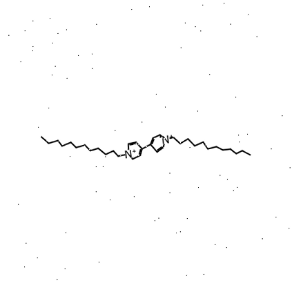 CCCCCCCCCCCC[n+]1ccc(-c2cc[n+](CCCCCCCCCCCC)cc2)cc1